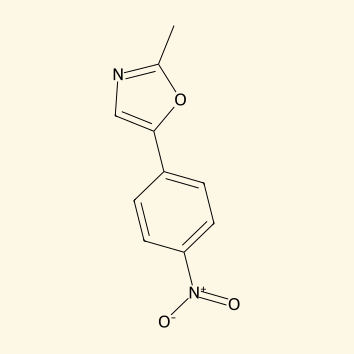 Cc1ncc(-c2ccc([N+](=O)[O-])cc2)o1